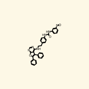 O=Nc1cccc(NC(=O)Nc2ccc(CCNc3ncnc4oc(-c5ccccc5)c(-c5ccccc5)c34)cc2)c1